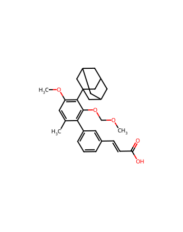 COCOc1c(-c2cccc(/C=C/C(=O)O)c2)c(C)cc(OC)c1C12CC3CC(CC(C3)C1)C2